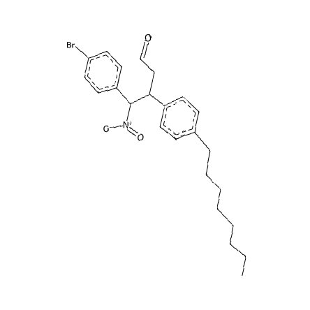 CCCCCCCCc1ccc(C(CC=O)C(c2ccc(Br)cc2)[N+](=O)[O-])cc1